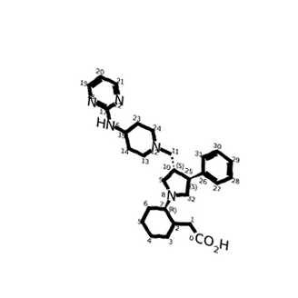 O=C(O)CC1CCCC[C@H]1N1C[C@H](CN2CCC(Nc3ncccn3)CC2)[C@@H](c2ccccc2)C1